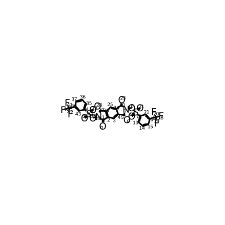 O=c1c2cc3c(=O)n(OS(=O)(=O)c4cccc(C(F)(F)F)c4)c(=O)c3cc2c(=O)n1OS(=O)(=O)c1cccc(C(F)(F)F)c1